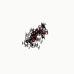 CC(C)C[C@H](NC(=O)[C@H](CCCCN=[N+]=[N-])NC(=O)[C@H](Cc1ccccc1)NC(=O)CCl)C(=O)N(C)[C@@H](C)C(=O)N(C)[C@@H](CC(C)C)C(=O)N[C@@H](C)C(=O)N(C)[C@@H](Cc1ccccc1)C(=O)N(C)[C@@H](C)C(=O)N[C@@H](C)C(=O)N[C@@H](Cc1ccccc1)C(=O)N[C@H](C)CSSC(C)(C)C